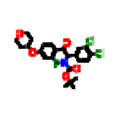 CC(C)(C)OC(=O)NC(C(=O)c1ccc(OC2CCOCC2)cc1F)c1ccc(Cl)c(Cl)c1